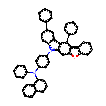 c1ccc(-c2ccc3c(c2)c2c(-c4ccccc4)c4c(cc2n3-c2ccc(N(c3ccccc3)c3cccc5ccccc35)cc2)oc2ccccc24)cc1